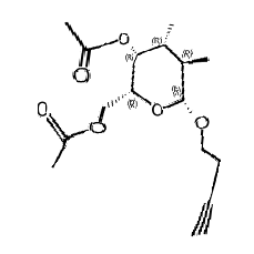 C#CCCO[C@@H]1O[C@H](COC(C)=O)[C@H](OC(C)=O)[C@H](C)[C@H]1C